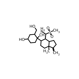 C=C1CCC2C(C(N)S(C)(=O)=O)C(C3(C)CCC(O)CC3CO)CCC12C